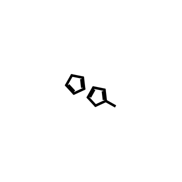 C1=CCC=C1.CC1=CC=CC1